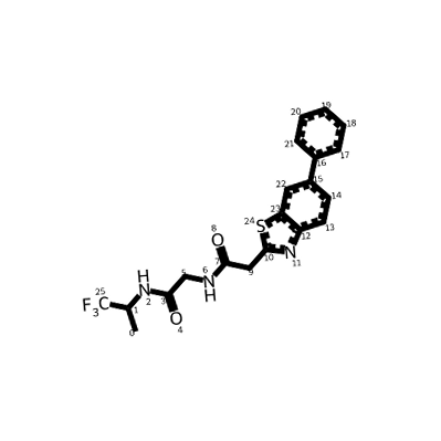 CC(NC(=O)CNC(=O)Cc1nc2ccc(-c3ccccc3)cc2s1)C(F)(F)F